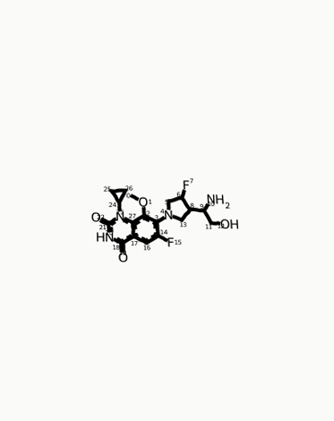 COc1c(N2CC(F)C(C(N)CO)C2)c(F)cc2c(=O)[nH]c(=O)n(C3CC3)c12